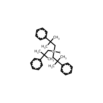 CC(C)([CH2][Zr]([I])([CH2]C(C)(C)c1ccccc1)[CH2]C(C)(C)c1ccccc1)c1ccccc1